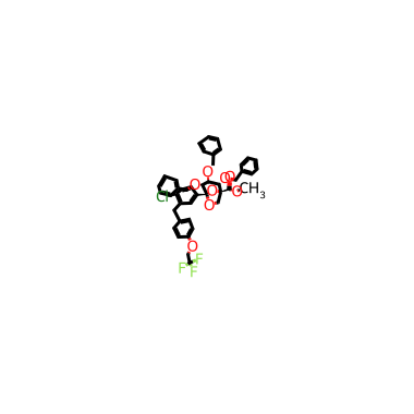 COC(=O)[C@@]12CO[C@@](c3ccc(Cl)c(Cc4ccc(OCC(F)(F)F)cc4)c3)(O1)[C@H](OCc1ccccc1)[C@@H](OCc1ccccc1)[C@@H]2OCc1ccccc1